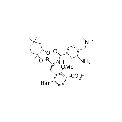 COc1c(C(=O)O)ccc(C(C)(C)C)c1C[C@H](NC(=O)c1ccc(CN(C)C)c(N)c1)B1OC2CC(C)(C)CCC2(C)O1